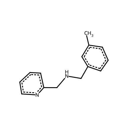 Cc1cccc(CNCc2ccccn2)c1